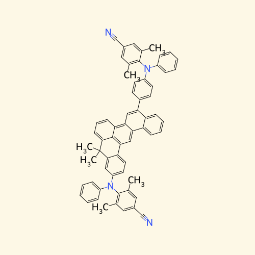 Cc1cc(C#N)cc(C)c1N(c1ccccc1)c1ccc(-c2cc3c4cccc5c4c(cc3c3ccccc23)-c2ccc(N(c3ccccc3)c3c(C)cc(C#N)cc3C)cc2C5(C)C)cc1